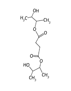 CC(O)C(C)OC(=O)CCC(=O)OC(C)C(C)O